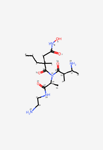 CCCC(C)(CC(=O)NO)C(=O)N(C(=O)C(C)C(C)N)[C@@H](C)C(=O)NCCN